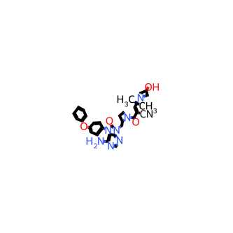 CC(C)(C=C(C#N)C(=O)N1CCC1Cn1c(=O)n(-c2ccc(Oc3ccccc3)cc2)c2c(N)ncnc21)N1CC(O)C1